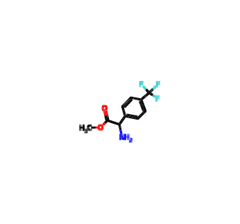 COC(=O)C(N)c1ccc(C(F)(F)F)cc1